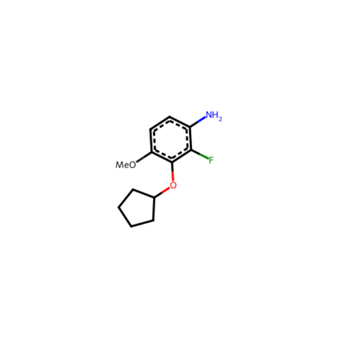 COc1ccc(N)c(F)c1OC1CCCC1